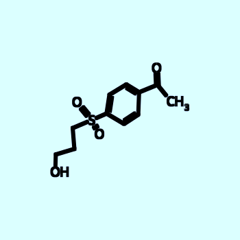 CC(=O)c1ccc(S(=O)(=O)CCCO)cc1